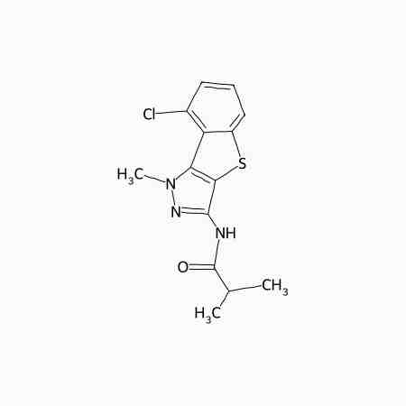 CC(C)C(=O)Nc1nn(C)c2c1sc1cccc(Cl)c12